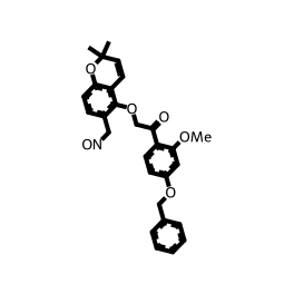 COc1cc(OCc2ccccc2)ccc1C(=O)COc1c(CN=O)ccc2c1C=CC(C)(C)O2